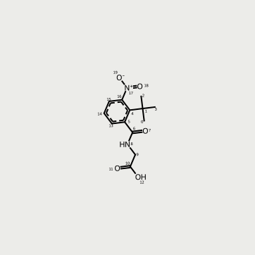 CC(C)(C)c1c(C(=O)NCC(=O)O)cccc1[N+](=O)[O-]